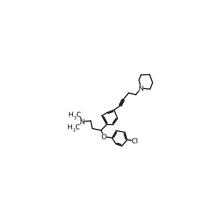 CN(C)CCC(Oc1ccc(Cl)cc1)c1ccc(C#CCCN2CCCCC2)cc1